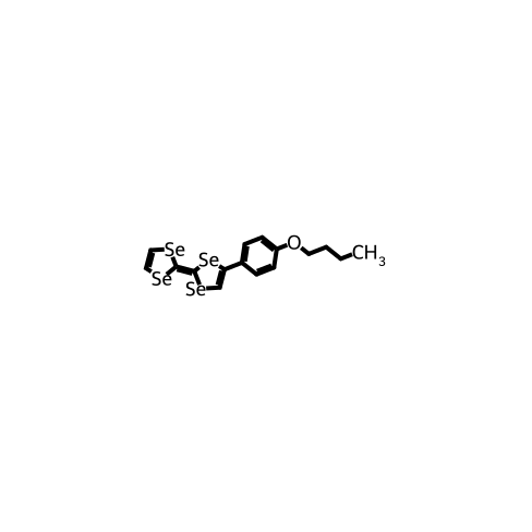 CCCCOc1ccc(C2=C[Se]C(=C3[Se]C=C[Se]3)[Se]2)cc1